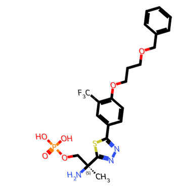 C[C@](N)(COP(=O)(O)O)c1nnc(-c2ccc(OCCCOCc3ccccc3)c(C(F)(F)F)c2)s1